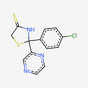 S=C1CSC(c2ccc(Cl)cc2)(c2cnccn2)N1